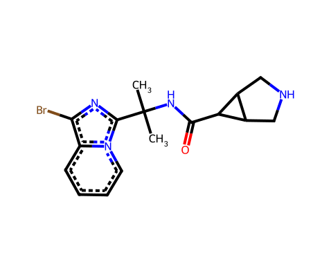 CC(C)(NC(=O)C1C2CNCC21)c1nc(Br)c2ccccn12